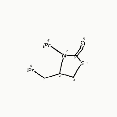 CC(C)CC1CSC(=O)N1C(C)C